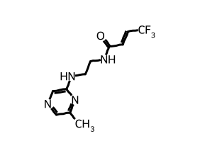 Cc1cncc(NCCNC(=O)/C=C/C(F)(F)F)n1